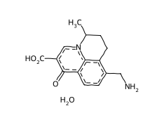 CC1CCc2c(CN)ccc3c(=O)c(C(=O)O)cn1c23.O